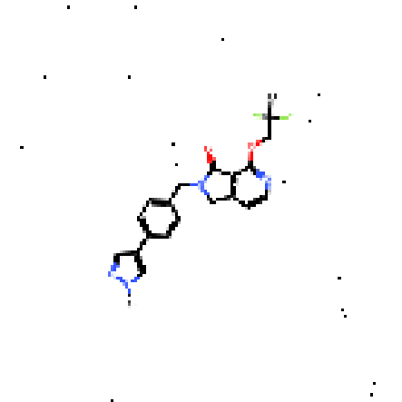 CCn1cc(-c2ccc(CN3Cc4ccnc(OCC(F)(F)CC)c4C3=O)cc2)cn1